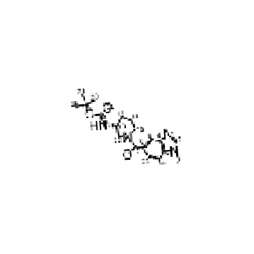 Cn1cnc2cc(C(=O)N3CCC[C@@H](NC(=O)OC(C)(C)C)C3)ccc21